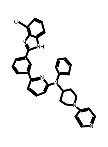 Clc1cccc2[nH]c(-c3cccc(-c4cccc(N(c5ccccc5)C5CCN(c6ccncc6)CC5)n4)c3)nc12